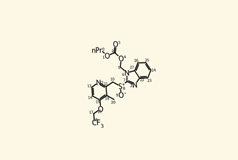 CCCOC(=O)OCn1c([S+]([O-])Cc2nccc(OCC(F)(F)F)c2C)nc2ccccc21